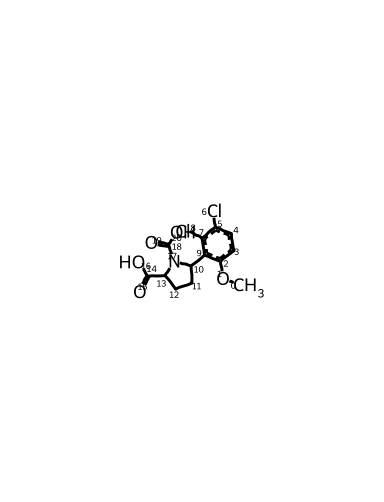 COc1ccc(Cl)c(Cl)c1C1CCC(C(=O)O)N1C(=O)O